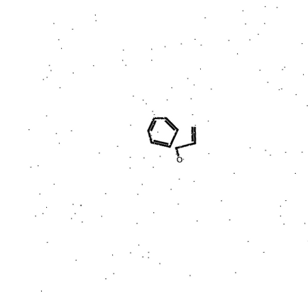 C=CC[O].c1ccccc1